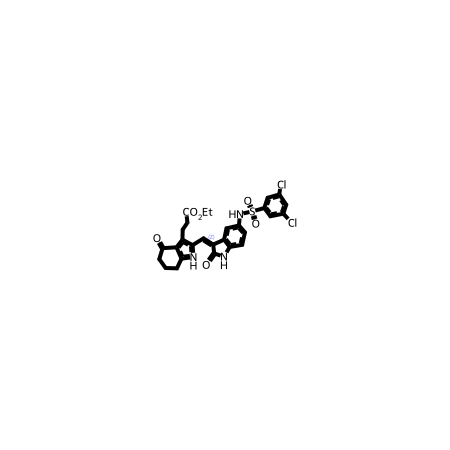 CCOC(=O)CCc1c(/C=C2\C(=O)Nc3ccc(NS(=O)(=O)c4cc(Cl)cc(Cl)c4)cc32)[nH]c2c1C(=O)CCC2